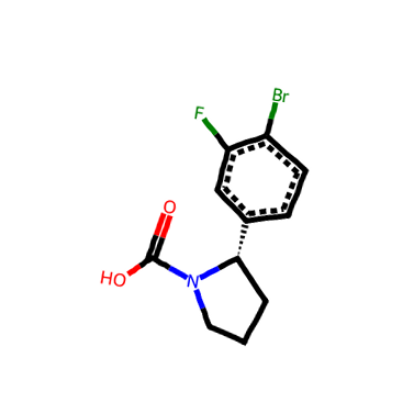 O=C(O)N1CCC[C@H]1c1ccc(Br)c(F)c1